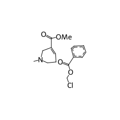 COC(=O)C1=CCCN(C)C1.O=C(OCCl)c1ccccc1